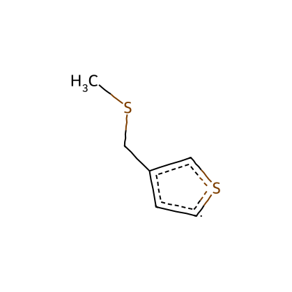 CSCc1c[c]sc1